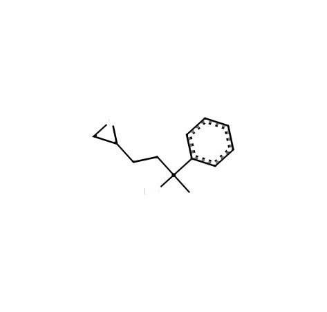 CC(O)(CCC1CO1)c1ccccc1